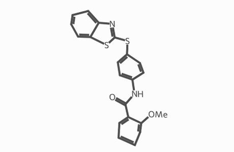 COc1ccccc1C(=O)Nc1ccc(Sc2nc3ccccc3s2)cc1